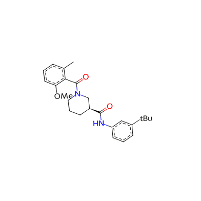 COc1cccc(C)c1C(=O)N1CCC[C@H](C(=O)Nc2cccc(C(C)(C)C)c2)C1